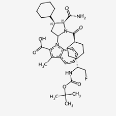 Cc1c(C(=O)O)n(C2C[C@@H](C3CCCCC3)[C@@H](C(N)=O)N2C(=O)[C@H]2CC[C@H](C(CF)NC(=O)OC(C)(C)C)CC2)c2ccccc12